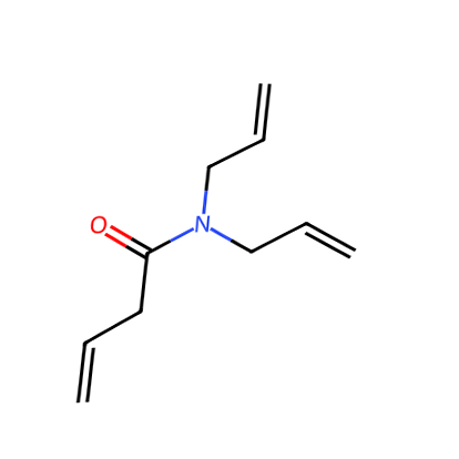 C=CCC(=O)N(CC=C)CC=C